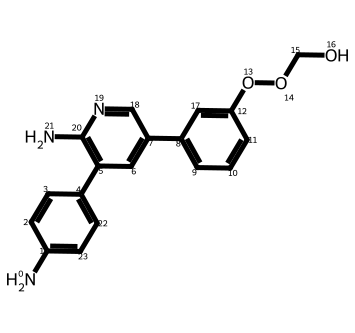 Nc1ccc(-c2cc(-c3cccc(OOCO)c3)cnc2N)cc1